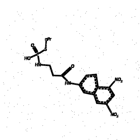 CCCSP(=O)(O)NCCC(=O)Nc1ccc2c([N+](=O)[O-])cc([N+](=O)[O-])cc2c1